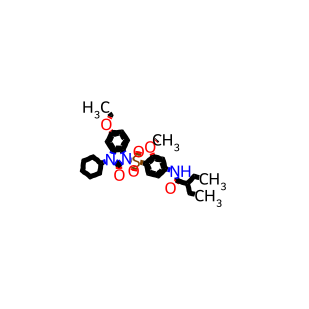 CCOc1ccc2c(c1)n(C1CCCCC1)c(=O)n2S(=O)(=O)c1ccc(NC(=O)C(CC)CC)cc1OC